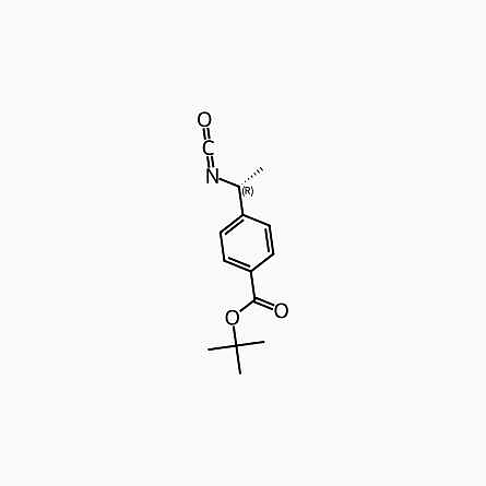 C[C@@H](N=C=O)c1ccc(C(=O)OC(C)(C)C)cc1